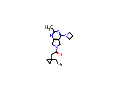 Cc1nc2c(c(N3CCC3)n1)CN(C(=O)CC1(CC(C)C)CC1)C2